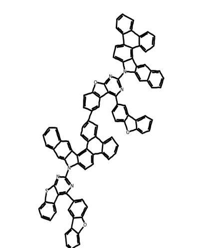 c1ccc2cc3c(cc2c1)c1c2c4ccccc4c4ccccc4c2ccc1n3-c1nc(-c2ccc3oc4ccccc4c3c2)c2c(n1)oc1ccc(-c3ccc4c(c3)c3ccccc3c3ccc5c(c6cc7ccccc7cc6n5-c5nc(-c6ccc7oc8ccccc8c7c6)c6c(n5)sc5ccccc56)c34)cc12